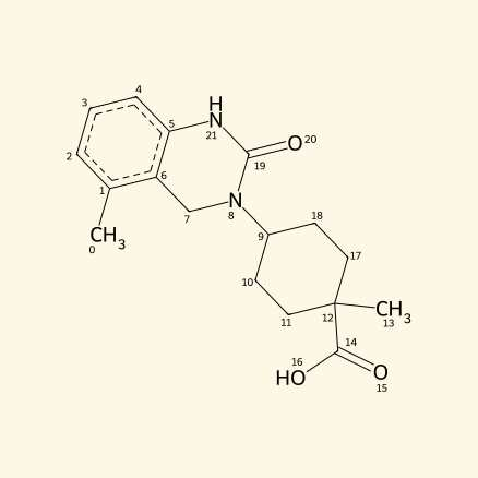 Cc1cccc2c1CN(C1CCC(C)(C(=O)O)CC1)C(=O)N2